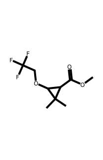 COC(=O)C1C(OCC(F)(F)F)C1(C)C